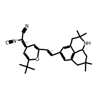 [C-]#[N+]/C(C#N)=C1C=C(/C=C/c2cc3c4c(c2)CC(C)(C)NC4CC(C)(C)C3)OC(C(C)(C)C)=C/1